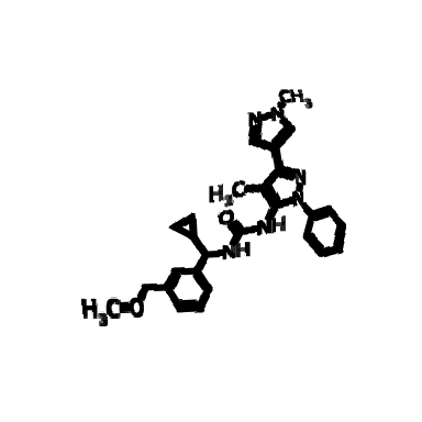 COCc1cccc(C(NC(=O)Nc2c(C)c(-c3cnn(C)c3)nn2-c2ccccc2)C2CC2)c1